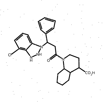 O=C(O)C1CCN(C(=O)CC(c2ccccc2)N2NNc3c(Cl)cccc32)C2CCCCC12